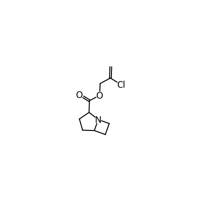 C=C(Cl)COC(=O)C1CCC2CCN21